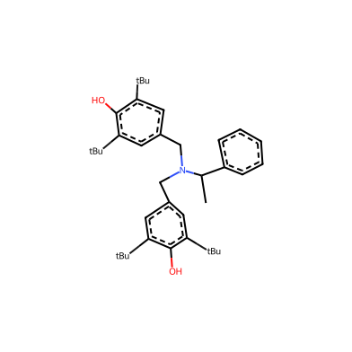 CC(c1ccccc1)N(Cc1cc(C(C)(C)C)c(O)c(C(C)(C)C)c1)Cc1cc(C(C)(C)C)c(O)c(C(C)(C)C)c1